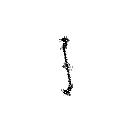 CN1Cc2c(Cl)cc(Cl)cc2C(c2ccc(S(=O)(=O)NCCOCCOCCOCCNC(=O)C(O)C(O)C(=O)NCCOCCOCCOCCNS(=O)(=O)c3ccc(C4CN(C)Cc5c(Cl)cc(Cl)cc54)cc3)cc2)C1